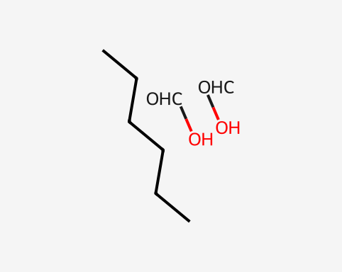 CCCCCC.O=CO.O=CO